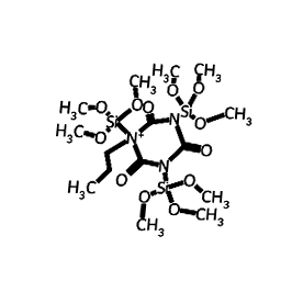 CCC[N+]1([Si](OC)(OC)OC)C(=O)N([Si](OC)(OC)OC)C(=O)N([Si](OC)(OC)OC)C1=O